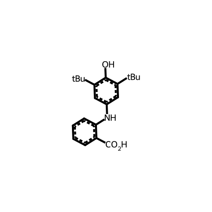 CC(C)(C)c1cc(Nc2ccccc2C(=O)O)cc(C(C)(C)C)c1O